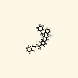 CC1CCCCN1CCNC(=O)c1ccc(C=C2Nc3ccncc3N(CC3CCCCC3)C2=O)cc1